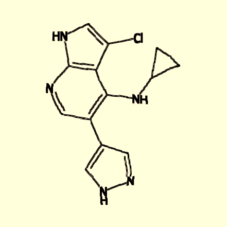 Clc1c[nH]c2ncc(-c3cn[nH]c3)c(NC3CC3)c12